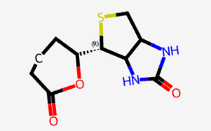 O=C1NC2CS[C@@H](C3CCCC(=O)O3)C2N1